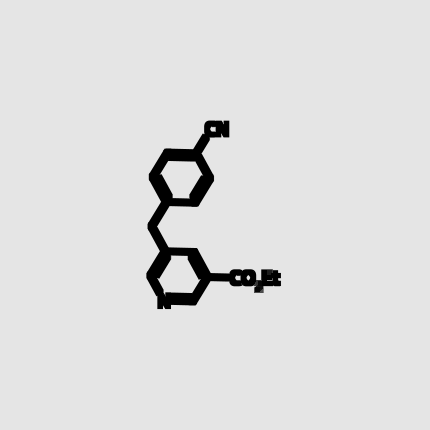 CCOC(=O)c1cncc(Cc2ccc(C#N)cc2)c1